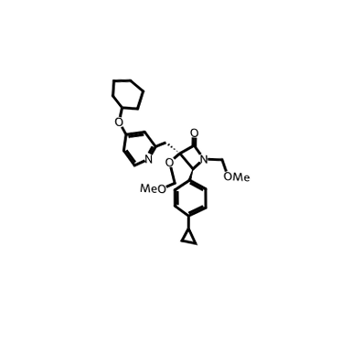 COCO[C@@]1(Cc2cc(OC3CCCCC3)ccn2)C(=O)N(COC)[C@H]1c1ccc(C2CC2)cc1